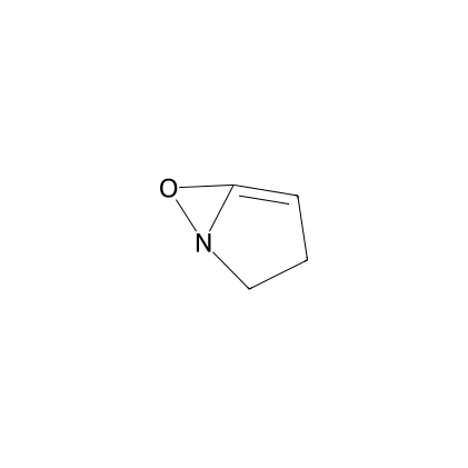 C1=C2ON2CC1